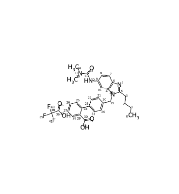 CCCCc1nc2ccc(NC(=O)N(C)C)cc2n1Cc1ccc(-c2ccccc2C(=O)O)cc1.O=C(O)C(F)(F)F